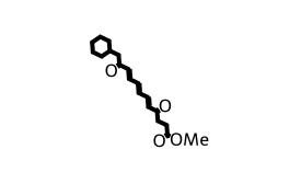 COC(=O)CCC(=O)/C=C/C=C/C=C/C(=O)CC1CCCCC1